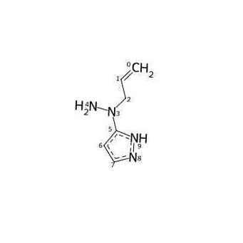 C=CCN(N)c1ccn[nH]1